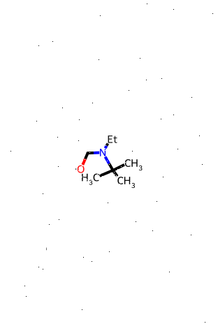 CCN(C[O])C(C)(C)C